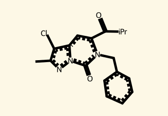 Cc1nn2c(=O)n(Cc3ccccc3)c(C(=O)C(C)C)cc2c1Cl